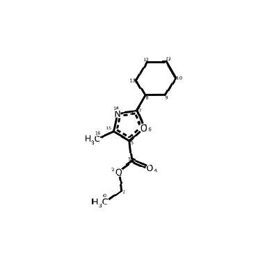 CCOC(=O)c1oc(C2CCCCC2)nc1C